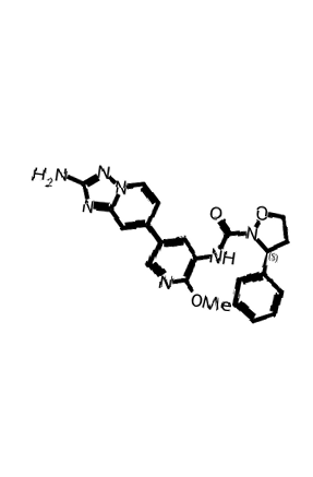 COc1ncc(-c2ccn3nc(N)nc3c2)cc1NC(=O)N1OCC[C@H]1c1ccccc1